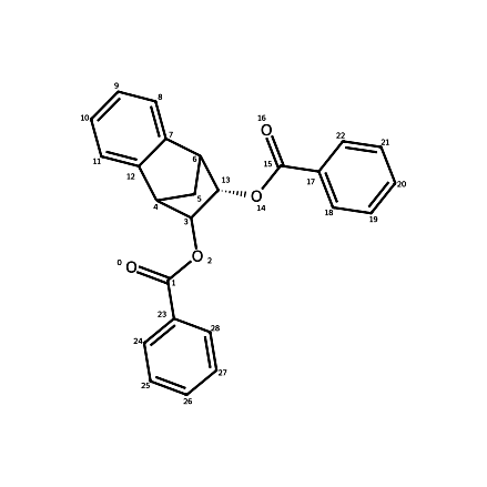 O=C(OC1C2CC(c3ccccc32)[C@@H]1OC(=O)c1ccccc1)c1ccccc1